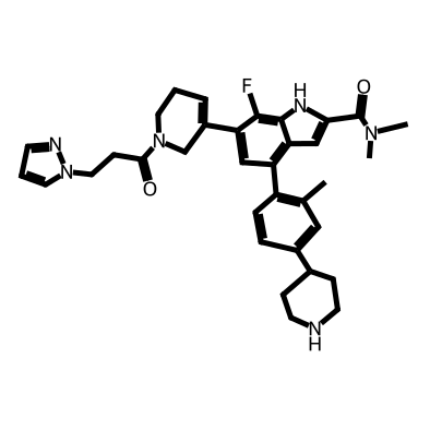 Cc1cc(C2CCNCC2)ccc1-c1cc(C2=CCCN(C(=O)CCn3cccn3)C2)c(F)c2[nH]c(C(=O)N(C)C)cc12